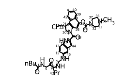 CCCCC(=O)NCC(=O)[C@@H](NCNc1ccc2[nH]c(C(=O)N3C[C@@H](CCl)c4c3cc(OC(=O)N3CCN(C)CC3)c3ccccc43)cc2c1)C(C)C